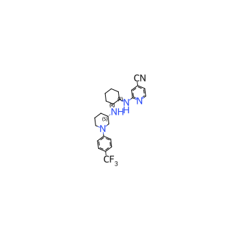 N#Cc1ccnc(N[C@@H]2CCCC[C@H]2N[C@H]2CCCN(c3ccc(C(F)(F)F)cc3)C2)c1